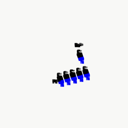 [Ba+2].[C-]#N.[C-]#N.[C-]#N.[C-]#N.[C-]#N.[C-]#N.[Pt+4]